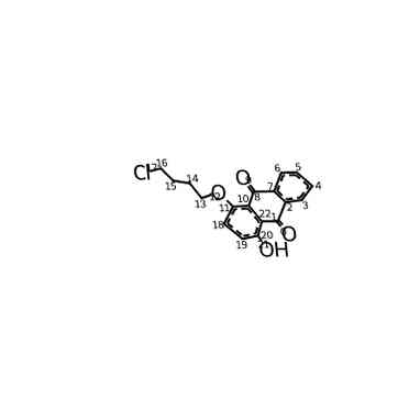 O=C1c2ccccc2C(=O)c2c(OCCCCCl)ccc(O)c21